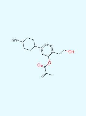 C=C(C)C(=O)Oc1cc(C2CCC(CCC)CC2)ccc1CCO